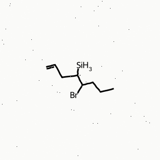 C=CC[C]([SiH3])C(Br)CCC